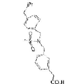 CC(C)Cc1ccc(CN(Cc2cccc(CC(=O)O)c2)S(C)(=O)=O)cc1